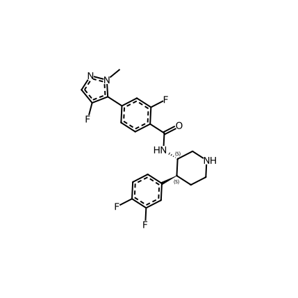 Cn1ncc(F)c1-c1ccc(C(=O)N[C@@H]2CNCC[C@H]2c2ccc(F)c(F)c2)c(F)c1